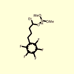 CCC(CCCc1c(F)c(F)c(F)c(F)c1F)O[SiH](OC)OC